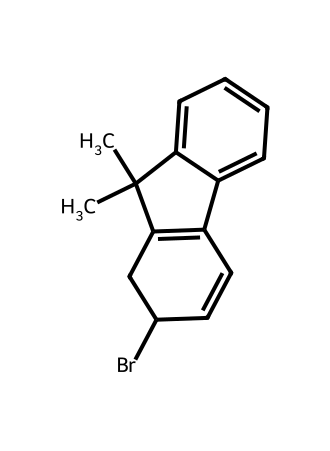 CC1(C)C2=C(C=CC(Br)C2)c2ccccc21